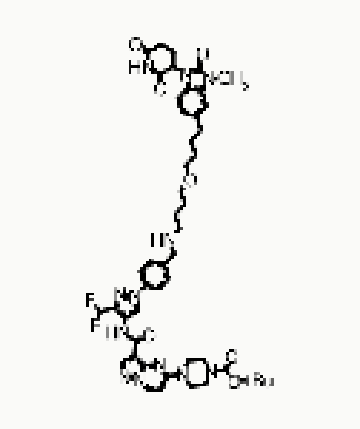 Cn1c(=O)n(C2CCC(=O)NC2=O)c2ccc(CCCCOCCCCNCc3ccc(-n4cc(NC(=O)c5cnn6ccc(N7CCN(C(=O)OC(C)(C)C)CC7)nc56)c(C(F)F)n4)cc3)cc21